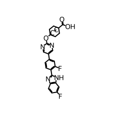 O=C(O)C12CCC(Oc3ncc(-c4ccc(-c5nc6ccc(F)cc6[nH]5)c(F)c4)cn3)(CC1)CC2